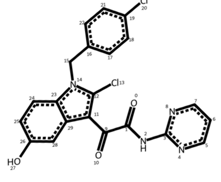 O=C(Nc1ncccn1)C(=O)c1c(Cl)n(Cc2ccc(Cl)cc2)c2ccc(O)cc12